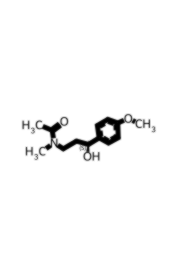 COc1ccc([C@@H](O)CCN(C)C(C)=O)cc1